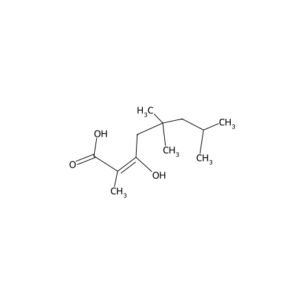 CC(C(=O)O)=C(O)CC(C)(C)CC(C)C